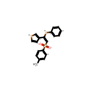 Cc1ccc(S(=O)(=O)/C=C(/Sc2ccccc2)c2ccsc2)cc1